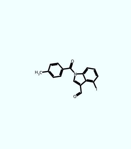 Cc1ccc(C(=O)n2cc(C=O)c3c(I)cccc32)cc1